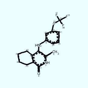 Cc1[nH]c(=O)c2c(c1Nc1cccc(OC(F)(F)F)c1)CCCC2